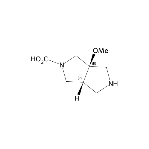 CO[C@@]12CNC[C@@H]1CN(C(=O)O)C2